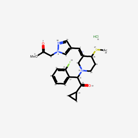 COC(=O)Cn1cc(/C=C2\CN(C(C(=O)C3CC3)c3ccccc3F)CCC2SC(C)=O)cn1.Cl